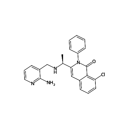 C[C@H](NCc1cccnc1N)c1cc2cccc(Cl)c2c(=O)n1-c1ccccc1